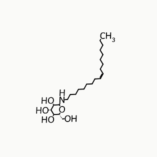 CCCCCCCC/C=C\CCCCCCCCNC1O[C@H](CO)[C@@H](O)[C@H](O)[C@H]1O